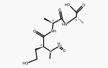 C[C@H](NC(=O)[C@H](C)NC(=O)[C@H](CCO)N(C)[PH2]=O)C(=O)O